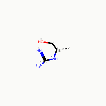 C[C@@H](CO)NC(=N)N